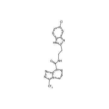 O=C(NCCc1nc2cc(Cl)ccc2[nH]1)c1cccn2c(C(F)(F)F)nnc12